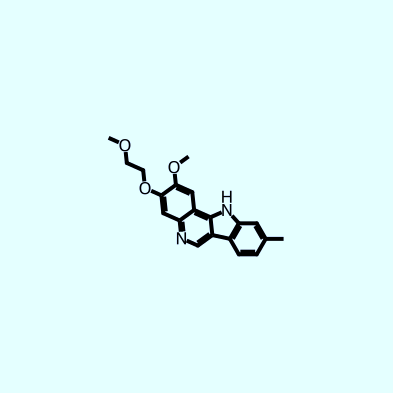 COCCOc1cc2ncc3c4ccc(C)cc4[nH]c3c2cc1OC